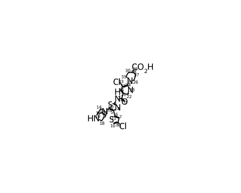 O=C(Nc1nc(-c2cc(Cl)cs2)c(N2CC3CC2CN3)s1)c1cnc(N2CCC(C(=O)O)CC2)c(Cl)c1